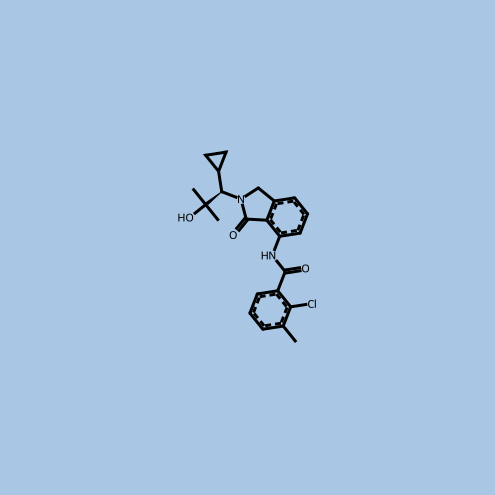 Cc1cccc(C(=O)Nc2cccc3c2C(=O)N([C@H](C2CC2)C(C)(C)O)C3)c1Cl